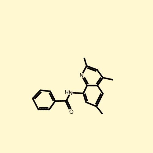 Cc1cc(NC(=O)c2ccccc2)c2nc(C)cc(C)c2c1